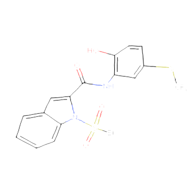 CCS(=O)(=O)n1c(C(=O)Nc2cc(SC(F)(F)F)ccc2O)cc2ccccc21